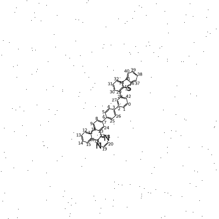 c1cc(-c2ccc(-c3ccc4c5ccccc5c5nccnc5c4c3)cc2)cc(-c2cccc3c2sc2ccccc23)c1